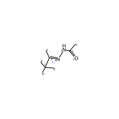 CC(=O)N/N=C(\C)C(C)(C)C